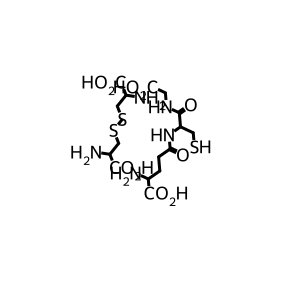 NC(CCC(=O)NC(CS)C(=O)NCC(=O)O)C(=O)O.NC(CSSCC(N)C(=O)O)C(=O)O